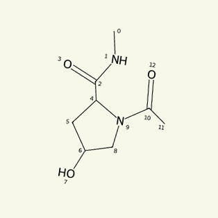 CNC(=O)C1CC(O)CN1C(C)=O